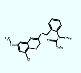 COC(=O)N(OC)c1ccccc1CSC1=Nc2cc(OC(F)(F)F)cc(Cl)c2OC1